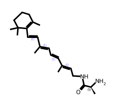 CC1=C(/C=C/C(C)=C/C=C/C(C)=C/CNC(=O)[C@H](C)N)C(C)(C)CCC1